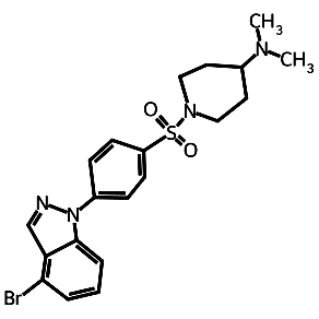 CN(C)C1CCN(S(=O)(=O)c2ccc(-n3ncc4c(Br)cccc43)cc2)CC1